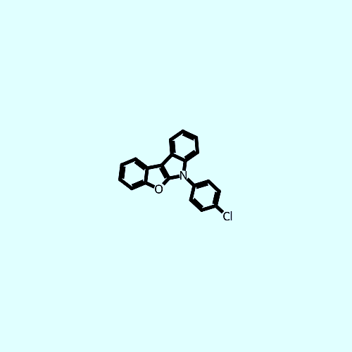 Clc1ccc(-n2c3ccccc3c3c4ccccc4oc32)cc1